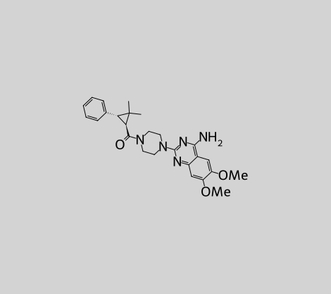 COc1cc2nc(N3CCN(C(=O)[C@H]4[C@H](c5ccccc5)C4(C)C)CC3)nc(N)c2cc1OC